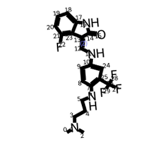 CN(C)CCCNc1ccc(N/C=C2\C(=O)Nc3cccc(F)c32)cc1C(F)(F)F